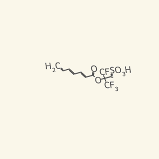 C=C/C=C/C=C/C(=O)OC(CS(=O)(=O)O)(C(F)(F)F)C(F)(F)F